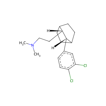 CN(C)CC[C@@H]1C2CCC(CC2)[C@@H]1c1ccc(Cl)c(Cl)c1